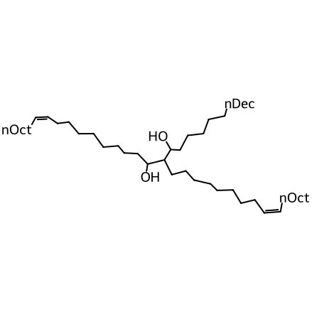 CCCCCCCC/C=C\CCCCCCCCC(O)C(CCCCCCCC/C=C\CCCCCCCC)C(O)CCCCCCCCCCCCCCC